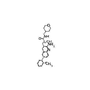 Cc1ccccc1-c1ccc2nc(N)c(C[C@@H](C)C(=O)NCC3CCOCC3)cc2c1